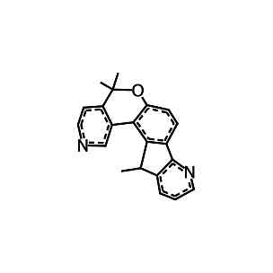 CC1c2cccnc2-c2ccc3c(c21)-c1cnccc1C(C)(C)O3